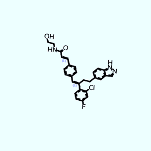 O=C(/C=C/c1ccc(/C=C(\CCc2ccc3[nH]ncc3c2)c2ccc(F)cc2Cl)cc1)NCCO